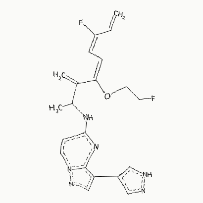 C=C/C(F)=C\C=C(\OCCF)C(=C)C(C)Nc1ccn2ncc(-c3cn[nH]c3)c2n1